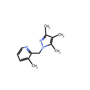 Cc1cccnc1Cn1nc(C)c(C)c1C